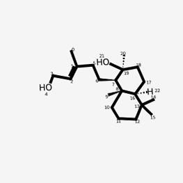 CC(=CCO)CC[C@@H]1[C@@]2(C)CCCC(C)(C)[C@@H]2CC[C@]1(C)O